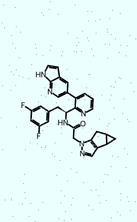 O=C(Cn1ncc2c1CC1CC21)N[C@@H](Cc1cc(F)cc(F)c1)c1ncccc1-c1cnc2[nH]ccc2c1